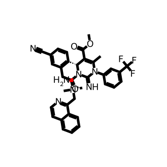 COC(=O)C1=C(C)N(c2cccc(C(F)(F)F)c2)C(=N)N(C(N)=O)[C@@H]1c1ccc(C#N)cc1CC[N+](C)(C)Cc1nccc2ccccc12